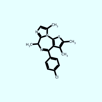 Cc1sc2c(c1C)C(c1ccc(Cl)cc1)=NC(C)c1ncc(C)n1-2